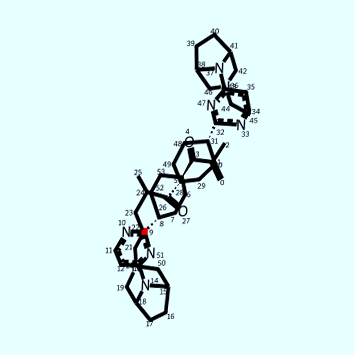 C=C(C)C(=O)[C@H]1CC[C@H](c2nccc(N3C4CCC3CN(CCCC(C)C(=O)[C@H]3CC[C@@H](c5nccc(N6C7CCC6CN(CC)C7)n5)CC3)C4)n2)CC1